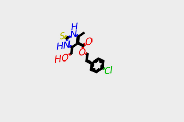 CC1=C(C(=O)OCCc2ccc(Cl)cc2)C(CO)NC(=S)N1